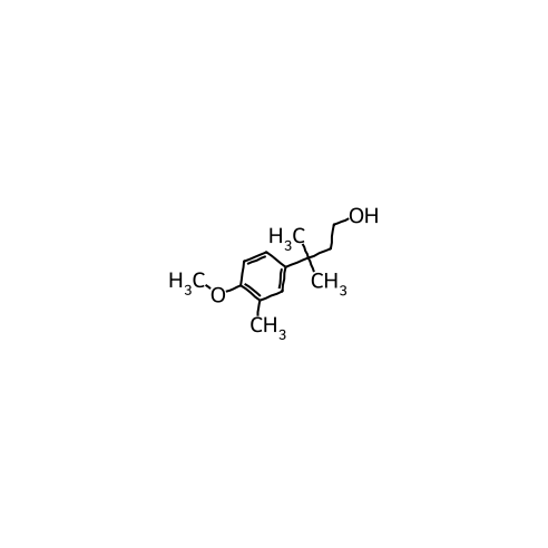 COc1ccc(C(C)(C)CCO)cc1C